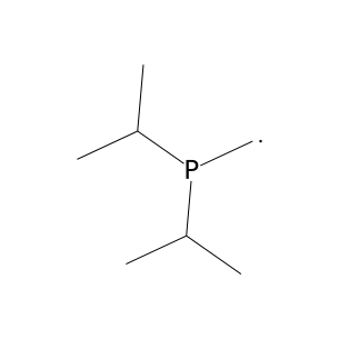 [CH2]P(C(C)C)C(C)C